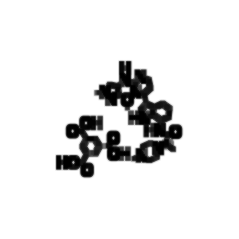 COc1nn(C)cc1Nc1nccc(-c2c[nH]c3c(NC(=O)[C@@H](C)N4CCN(C)CC4)cccc23)n1.O=C(O)c1cc(C(=O)O)cc(C(=O)O)c1